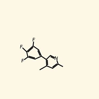 Cc1cc(C)c(-c2cc(F)c(F)c(F)c2)cn1